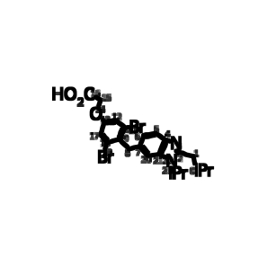 CC(C)Cc1nc2ccc(Cc3c(Br)cc(OCC(=O)O)cc3Br)cc2n1C(C)C